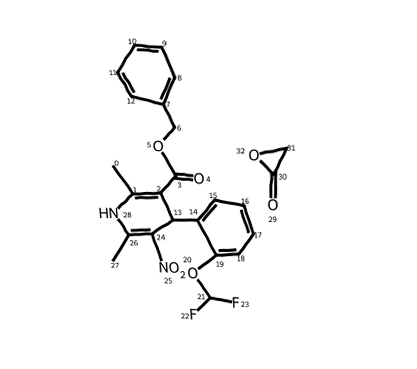 CC1=C(C(=O)OCc2ccccc2)C(c2ccccc2OC(F)F)C([N+](=O)[O-])=C(C)N1.O=C1CO1